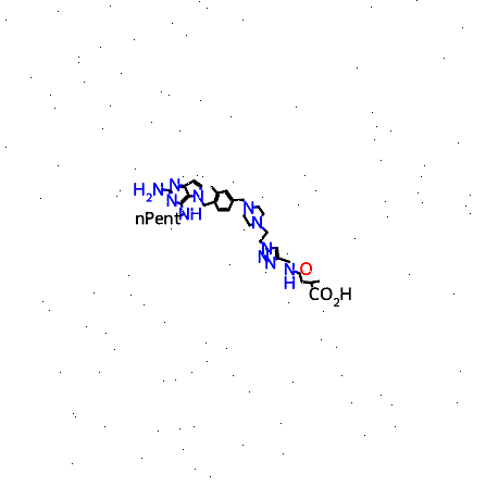 CCCCCNc1nc(N)nc2ccn(Cc3ccc(CN4CCN(CCn5cc(CNC(=O)CC(C)C(=O)O)nn5)CC4)cc3C)c12